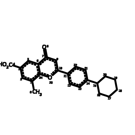 Cc1cc(C(=O)O)cc2c(=O)cc(-c3ccc(C4CCCCC4)cc3)oc12